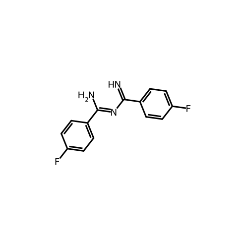 N=C(/N=C(\N)c1ccc(F)cc1)c1ccc(F)cc1